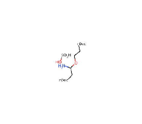 CCCCCCCCCCCCOC(N)CCCCCCCCCCC.O=S(=O)(O)O